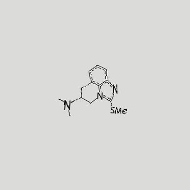 CSc1nc2cccc3c2n1CC(N(C)C)C3